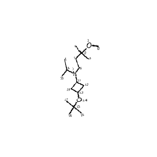 COC(C)(C)CCN(C(C)C)C1CC(OC(C)(C)C)C1